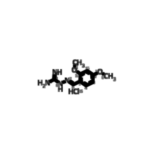 COc1ccc(C=NNC(=N)N)c(OC)c1.Cl